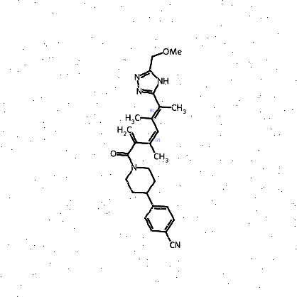 C=C(C(=O)N1CCC(c2ccc(C#N)cc2)CC1)/C(C)=C\C(C)=C(/C)c1nnc(COC)[nH]1